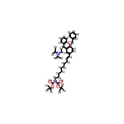 CC(C)N(CC[C@H](c1ccccc1)c1cc(C=CCCCCCCCCN(C(=O)OC(C)(C)C)C(=O)OC(C)(C)C)ccc1OCc1ccccc1)C(C)C